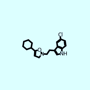 Clc1ccc2[nH]cc(CCN3CC=C(C4CCCCC4)O3)c2c1